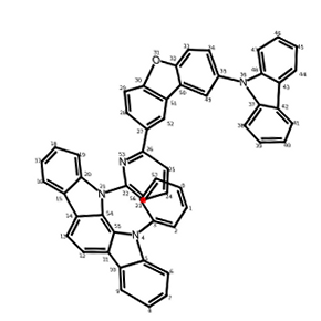 c1ccc(-n2c3ccccc3c3ccc4c5ccccc5n(-c5cccc(-c6ccc7oc8ccc(-n9c%10ccccc%10c%10ccccc%109)cc8c7c6)n5)c4c32)cc1